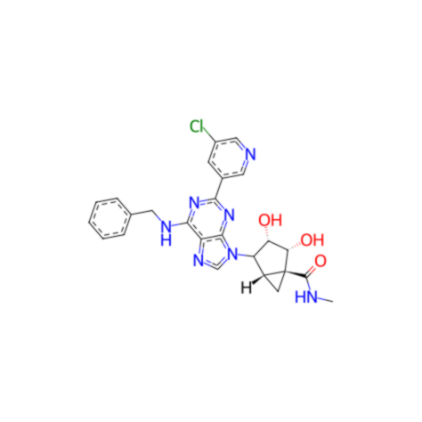 CNC(=O)[C@@]12C[C@@H]1C(n1cnc3c(NCc4ccccc4)nc(-c4cncc(Cl)c4)nc31)[C@H](O)[C@@H]2O